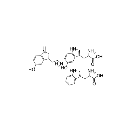 NC(Cc1c[nH]c2ccc(O)cc12)C(=O)O.NC(Cc1c[nH]c2ccccc12)C(=O)O.NCCc1c[nH]c2ccc(O)cc12